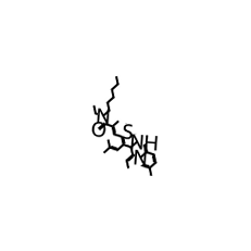 C=C1C=CC(C)=CN1/C(=C\C)C(NC)/C(C=C(C)C)=C(/C=C(\C)C(=O)N(CC)CCCCCC)SC